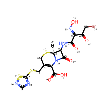 O=C(O)C1=C(CSc2ncns2)CS[C@H]2C(NC(=O)C(=NO)C(=O)CBr)C(=O)N12